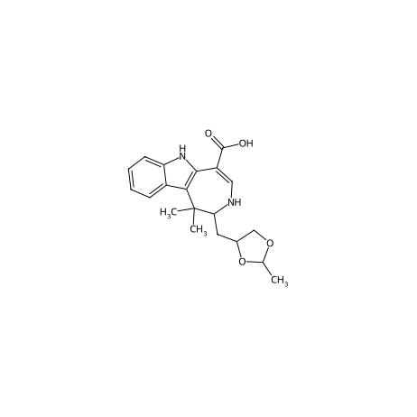 CC1OCC(CC2NC=C(C(=O)O)c3[nH]c4ccccc4c3C2(C)C)O1